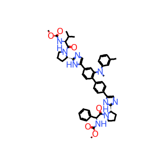 COC(=O)N[C@H](C(=O)N1CCC[C@H]1c1ncc(-c2ccc(-c3ccc(-c4cnc([C@@H]5CCCN5C(=O)[C@H](NC(=O)OC)c5ccccc5)[nH]4)cc3)c(N(C)c3cccc(C)c3)c2)[nH]1)C(C)C